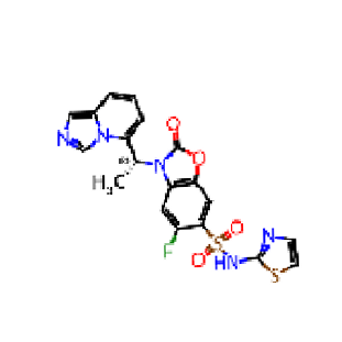 C[C@H](c1cccc2cncn12)n1c(=O)oc2cc(S(=O)(=O)Nc3nccs3)c(F)cc21